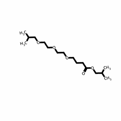 CC(C)COCCOCCOCCCC(=O)OCC(C)C